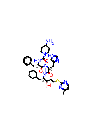 Cc1ccnc(SCC[C@H](O)[C@H](CC2CCCCC2)NC(=O)[C@H](Cc2c[nH]cn2)NC(=O)[C@H](Cc2ccccc2)NC(=O)N2CCC(N)CC2)n1